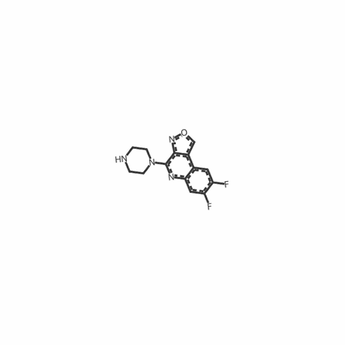 Fc1cc2nc(N3CCNCC3)c3nocc3c2cc1F